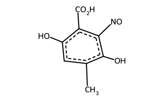 Cc1cc(O)c(C(=O)O)c(N=O)c1O